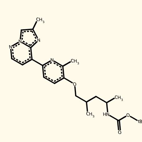 Cc1cn2nccc(-c3ccc(OCC(C)CC(C)NC(=O)OC(C)(C)C)c(C)n3)c2n1